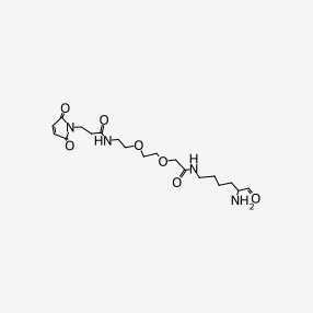 NC(C=O)CCCCNC(=O)COCCOCCNC(=O)CCN1C(=O)C=CC1=O